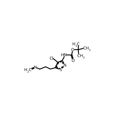 C=NCCCc1snc(NC(=O)OC(C)(C)C)c1Cl